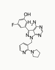 Nc1ncnc2c1c(-c1cc(O)cc(F)c1)nn2Cc1cccnc1N1CCCC1